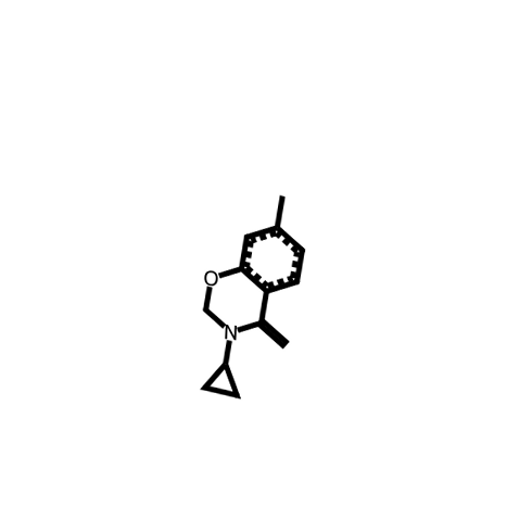 C=C1c2ccc(C)cc2OCN1C1CC1